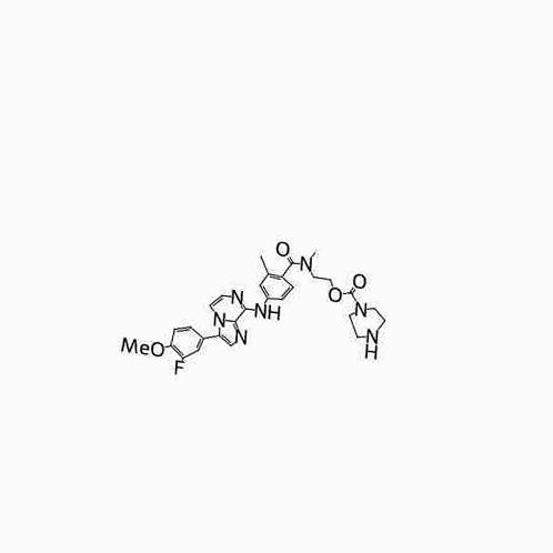 COc1ccc(-c2cnc3c(Nc4ccc(C(=O)N(C)CCOC(=O)N5CCNCC5)c(C)c4)nccn23)cc1F